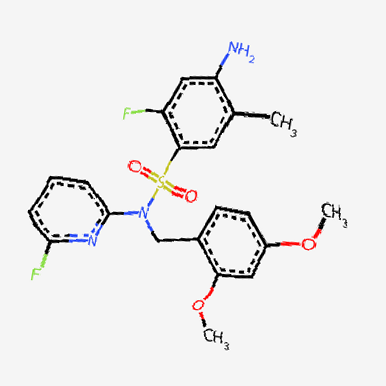 COc1ccc(CN(c2cccc(F)n2)S(=O)(=O)c2cc(C)c(N)cc2F)c(OC)c1